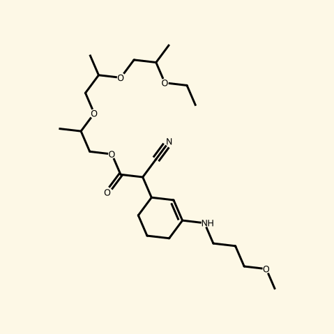 CCOC(C)COC(C)COC(C)COC(=O)C(C#N)C1C=C(NCCCOC)CCC1